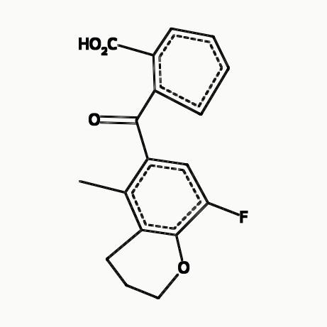 Cc1c(C(=O)c2ccccc2C(=O)O)cc(F)c2c1CCCO2